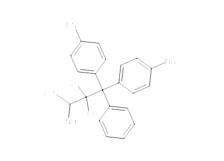 CCC(CC)(C(N)N)C(c1ccccc1)(c1ccc(N)cc1)c1ccc(N)cc1